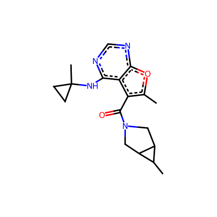 Cc1oc2ncnc(NC3(C)CC3)c2c1C(=O)N1CC2C(C)C2C1